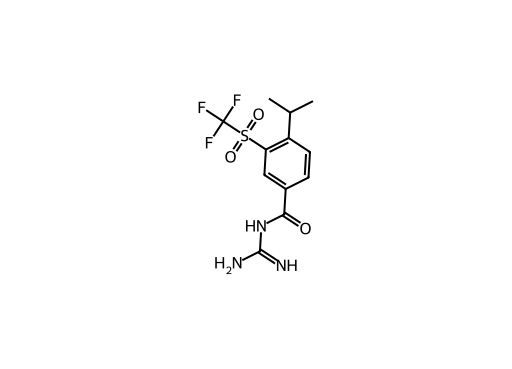 CC(C)c1ccc(C(=O)NC(=N)N)cc1S(=O)(=O)C(F)(F)F